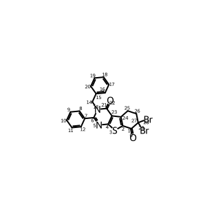 O=C1c2sc3nc(-c4ccccc4)n(Cc4ccccc4)c(=O)c3c2CCC1(Br)Br